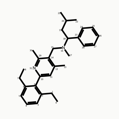 CCc1cccc(CC)c1-c1cc(C)c(CN(C)C(CC(C)C)c2ccccc2)c(C)n1